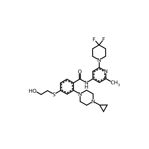 Cc1cc(NC(=O)c2ccc(SCCO)cc2N2CCN(C3CC3)CC2)cc(N2CCC(F)(F)CC2)n1